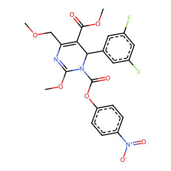 COCC1=C(C(=O)OC)C(c2cc(F)cc(F)c2)N(C(=O)Oc2ccc([N+](=O)[O-])cc2)C(OC)=N1